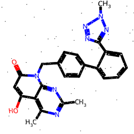 Cc1nc(C)c2c(O)cc(=O)n(Cc3ccc(-c4ccccc4-c4nnn(C)n4)cc3)c2n1